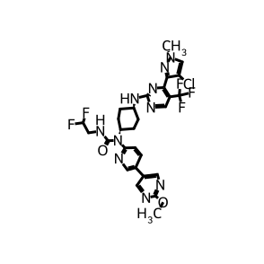 COc1ncc(-c2ccc(N(C(=O)NCC(F)F)[C@H]3CC[C@H](Nc4ncc(C(F)(F)F)c(-c5nn(C)cc5Cl)n4)CC3)nc2)cn1